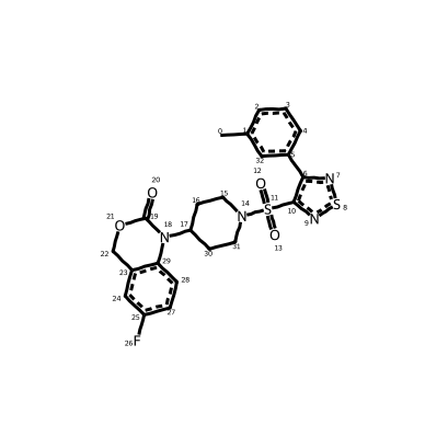 Cc1cccc(-c2nsnc2S(=O)(=O)N2CCC(N3C(=O)OCc4cc(F)ccc43)CC2)c1